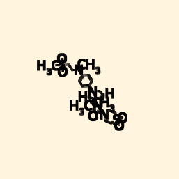 CN(CCS(C)(=O)=O)c1ccc(N2C[C@H]3CN(C(=O)N4CCS(=O)(=O)CC4)C[C@@H]2C(C)(C)C3)cc1